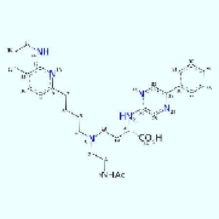 CC(=O)NCCN(CCCCc1ccc2c(n1)NCCC2)CC[C@H](Nc1cnc(-c2ccccc2)cn1)C(=O)O